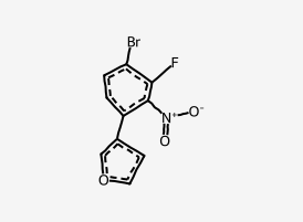 O=[N+]([O-])c1c(-c2ccoc2)ccc(Br)c1F